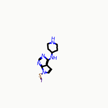 ISn1ccc2c(NC3CCNCC3)ncnc21